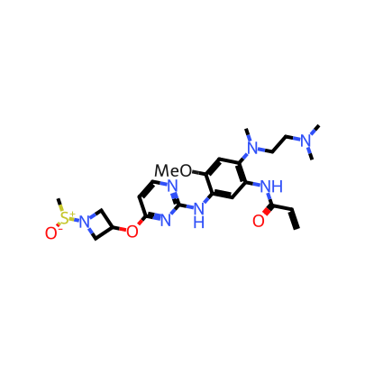 C=CC(=O)Nc1cc(Nc2nccc(OC3CN([S+](C)[O-])C3)n2)c(OC)cc1N(C)CCN(C)C